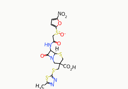 Cc1nnc(SCC2(C(=O)O)CS[C@@H]3C(NC(=O)C[S+]([O-])c4ccc([N+](=O)[O-])o4)C(=O)N3C2)s1